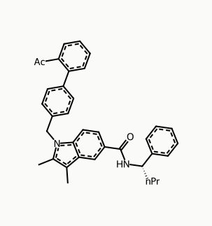 CCC[C@H](NC(=O)c1ccc2c(c1)c(C)c(C)n2Cc1ccc(-c2ccccc2C(C)=O)cc1)c1ccccc1